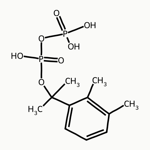 Cc1cccc(C(C)(C)OP(=O)(O)OP(=O)(O)O)c1C